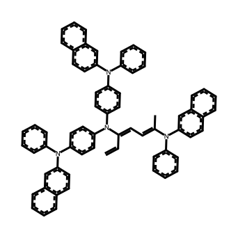 C=C/C(=C\C=C(/C)N(c1ccccc1)c1ccc2ccccc2c1)N(c1ccc(N(c2ccccc2)c2ccc3ccccc3c2)cc1)c1ccc(N(c2ccccc2)c2ccc3ccccc3c2)cc1